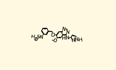 COc1cc2c(Nc3cc[nH]n3)ncnc2cc1OCc1cccc(N=[SH2]=O)c1